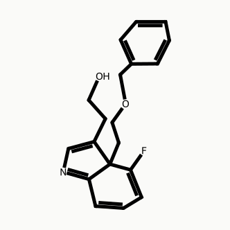 OCCC1=CN=C2C=CC=C(F)C12CCOCc1ccccc1